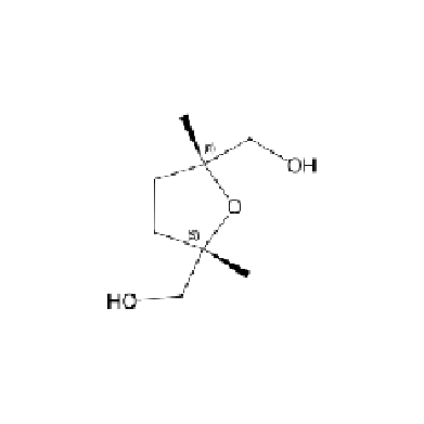 C[C@]1(CO)CC[C@@](C)(CO)O1